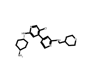 N[C@H]1CC[C@H](Nc2cc(-c3ccnc(NCC4CCOCC4)c3)c(Cl)cn2)CC1